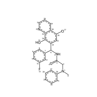 CN(CC(=O)NC(c1cccc(F)c1)c1cc(Cl)c2cccnc2c1O)c1ccccc1